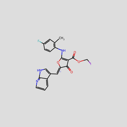 Cc1cc(F)ccc1NC1=C(C(=O)OCI)C(=O)/C(=C/c2c[nH]c3ncccc23)O1